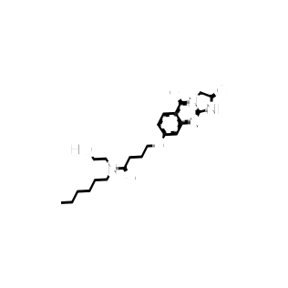 CCCCCCN(CCO)C(=O)CCCOc1ccc2c(=O)n3c(nc2c1)NC(=O)C3